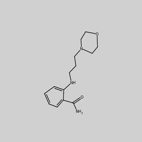 NC(=O)c1ccccc1NCCCN1CCOCC1